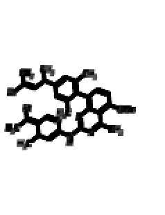 CC/C(C)=C1\C=NC(Nc2nc(N)c3c(OC)ccc(-c4c(C)cc(C(C)/C=C(\C)CC)cc4C)c3n2)=CC1C